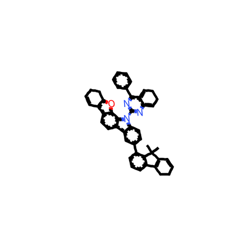 CC1(C)C2=C(CCC=C2)c2cccc(-c3ccc4c(c3)c3ccc5c6c(oc5c3n4-c3nc(-c4ccccc4)c4c(n3)=CCCC=4)CCC=C6)c21